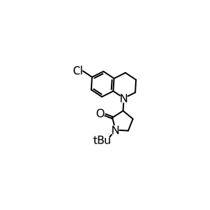 CC(C)(C)N1CCC(N2CCCc3cc(Cl)ccc32)C1=O